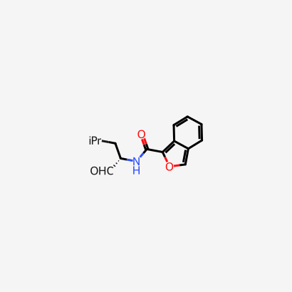 CC(C)C[C@@H](C=O)NC(=O)c1occ2ccccc12